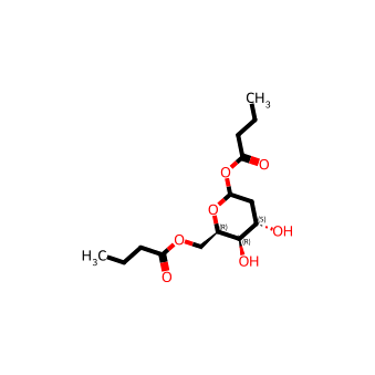 CCCC(=O)OC[C@H]1OC(OC(=O)CCC)C[C@H](O)[C@H]1O